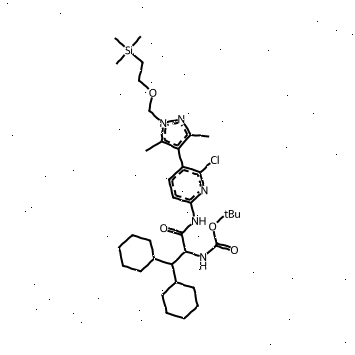 Cc1nn(COCC[Si](C)(C)C)c(C)c1-c1ccc(NC(=O)C(NC(=O)OC(C)(C)C)C(C2CCCCC2)C2CCCCC2)nc1Cl